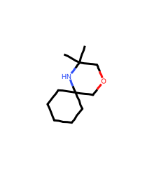 CC1(C)COCC2(CCCCC2)N1